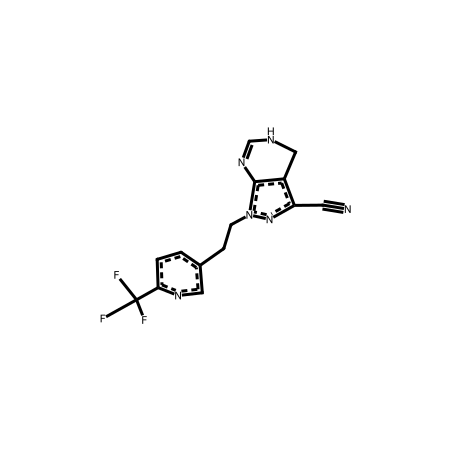 N#Cc1nn(CCc2ccc(C(F)(F)F)nc2)c2c1CNC=N2